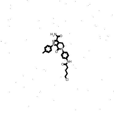 Cc1ccc(-n2nc(C(N)=O)c3c2C(=O)N(c2ccc(NC(=O)CCCCCl)cc2)CC3)cc1